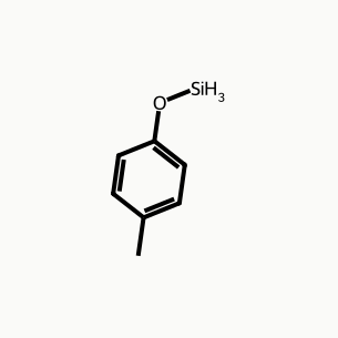 Cc1ccc(O[SiH3])cc1